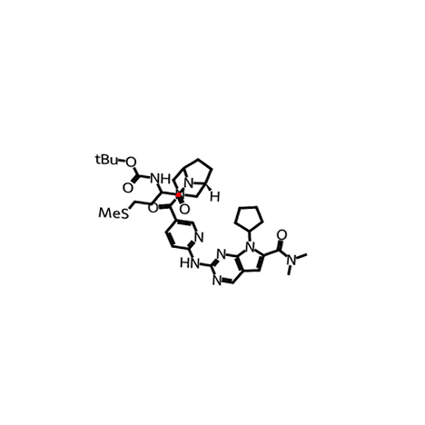 CSCCC(NC(=O)OC(C)(C)C)C(=O)N1C2CC[C@@H]1CN(C(=O)c1ccc(Nc3ncc4cc(C(=O)N(C)C)n(C5CCCC5)c4n3)nc1)C2